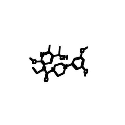 CCN(C(=O)N1CCN(c2cc(OC)cc(OC)c2)CC1)c1cc(C(C)O)c(C)nc1OC